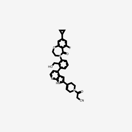 N#CCC(=O)N1CC=C(c2cc3c(-c4cccc(N5CCOc6cc(C7CC7)cc(F)c6C5=O)c4CO)ccnc3[nH]2)CC1